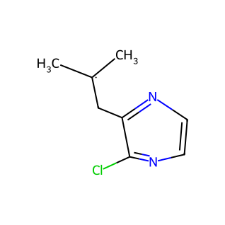 C[C](C)Cc1nccnc1Cl